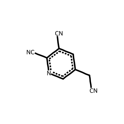 N#CCc1cnc(C#N)c(C#N)c1